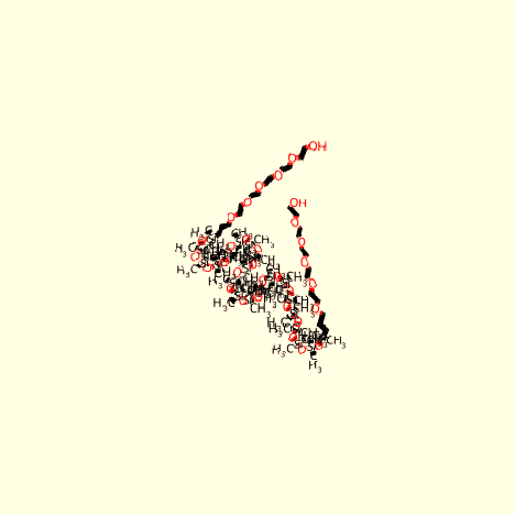 C[Si](C)(CCCOCCOCCOCCOCCOCCO)O[Si](C)(C)O[Si](C)(C)O[Si](C)(C)O[Si](C)(C)O[Si](C)(C)O[Si](C)(C)O[Si](C)(C)O[Si](C)(C)O[Si](C)(C)O[Si](C)(C)O[Si](C)(C)O[Si](C)(C)O[Si](C)(C)O[Si](C)(C)O[Si](C)(C)O[Si](C)(C)O[Si](C)(C)O[Si](C)(C)O[Si](C)(C)O[Si](C)(C)CCCOCCOCCOCCOCCOCCO